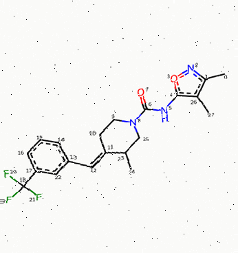 Cc1noc(NC(=O)N2CCC(=Cc3cccc(C(F)(F)F)c3)C(C)C2)c1C